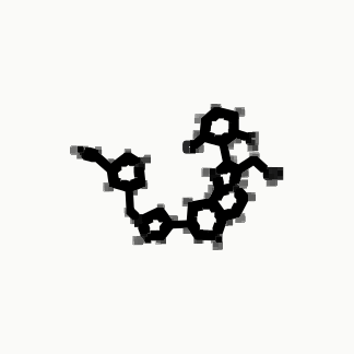 N#Cc1cncc(Cn2cc(-c3cnc4ccn5c(CO)c(-c6c(Cl)cccc6Cl)nc5c4c3)cn2)c1